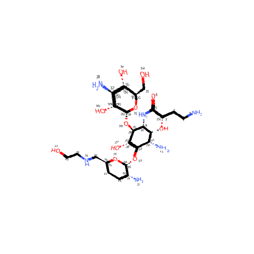 NCC[C@H](O)C(=O)N[C@@H]1C[C@H](N)C(O[C@H]2O[C@H](CNCCO)CC[C@H]2N)[C@H](O)[C@H]1O[C@H]1O[C@H](CO)[C@@H](O)[C@H](N)[C@H]1O